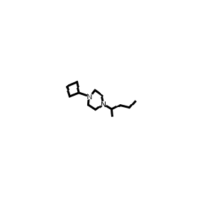 CCCC(C)N1CCN(C2CCC2)CC1